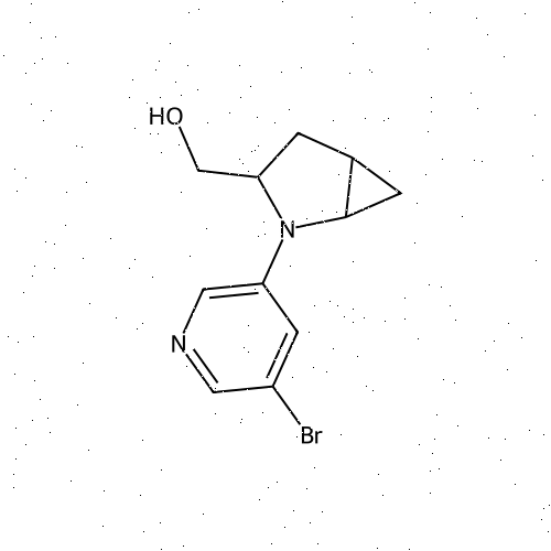 OCC1CC2CC2N1c1cncc(Br)c1